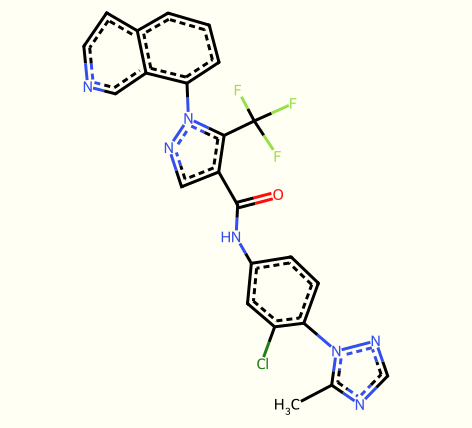 Cc1ncnn1-c1ccc(NC(=O)c2cnn(-c3cccc4ccncc34)c2C(F)(F)F)cc1Cl